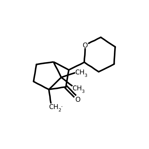 [CH2]C12CCC(C(C3CCCCO3)C1=O)C2(C)C